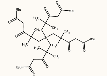 CC(C)(C)C(=O)CC(=O)C(C)(C)[CH2][Zr]([CH2]C(C)(C)C(=O)CC(=O)C(C)(C)C)([CH2]C(C)(C)C(=O)CC(=O)C(C)(C)C)[CH2]C(C)(C)C(=O)CC(=O)C(C)(C)C